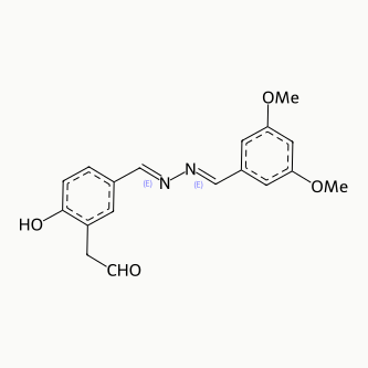 COc1cc(/C=N/N=C/c2ccc(O)c(CC=O)c2)cc(OC)c1